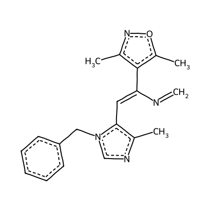 C=N/C(=C\c1c(C)ncn1Cc1ccccc1)c1c(C)noc1C